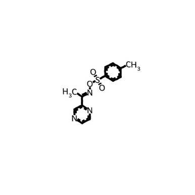 C/C(=N\OS(=O)(=O)c1ccc(C)cc1)c1cnccn1